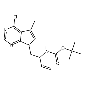 C=CC(Cn1cc(C)c2c(Cl)ncnc21)NC(=O)OC(C)(C)C